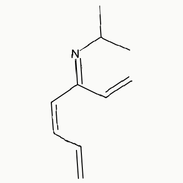 C=C/C=C\C(C=C)=N\C(C)C